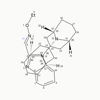 CCO/N=C/c1nc2ccccc2n1C1C[C@H]2CCC[C@@H](C1)N2[C@H]1C[C@@H]2CCC[C@@H](C2)C1